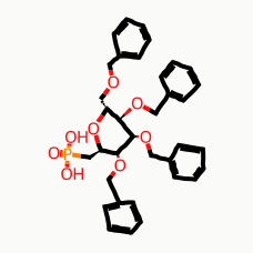 O=P(O)(O)C[C@H]1O[C@H](COCc2ccccc2)[C@@H](OCc2ccccc2)[C@H](OCc2ccccc2)[C@@H]1OCc1ccccc1